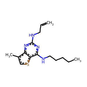 C=CCNc1nc(NCCCCC)c2scc(C)c2n1